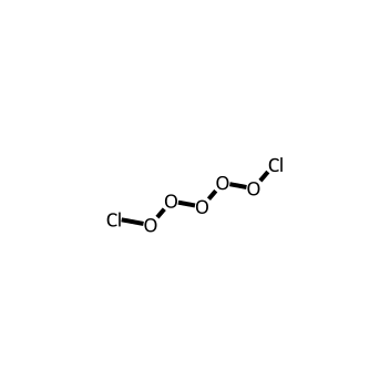 ClOOOOOCl